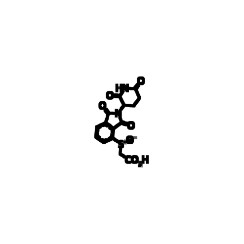 O=C(O)C[S+]([O-])c1cccc2c1C(=O)N(C1CCC(=O)NC1=O)C2=O